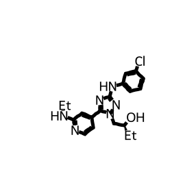 CCNc1cc(-c2nc(Nc3cccc(Cl)c3)nn2C[C@@H](O)CC)ccn1